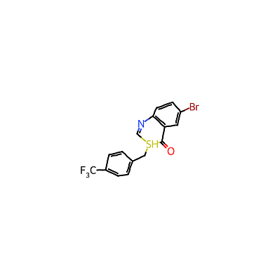 O=C1c2cc(Br)ccc2N=C[SH]1Cc1ccc(C(F)(F)F)cc1